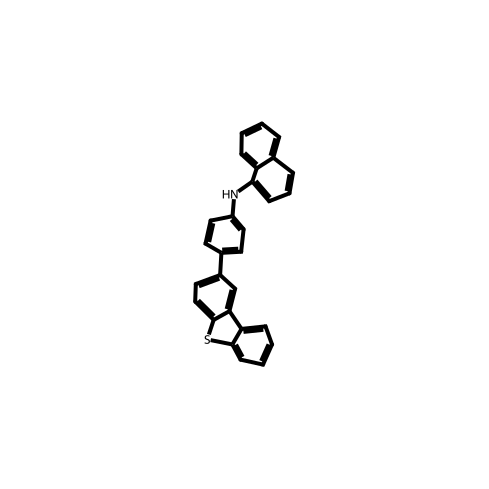 c1ccc2c(Nc3ccc(-c4ccc5sc6ccccc6c5c4)cc3)cccc2c1